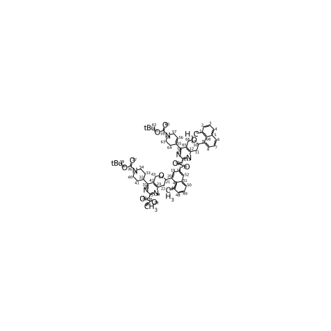 Cc1cccc2cccc(C3Cc4nc(S(=O)(=O)c5cc(C6Cc7nc(S(C)(=O)=O)nc(C8CCN(C(=O)OC(C)(C)C)CC8)c7CO6)c6c(C)cccc6c5)nc(C5=CCN(C(=O)OC(C)(C)C)CC5)c4CO3)c12